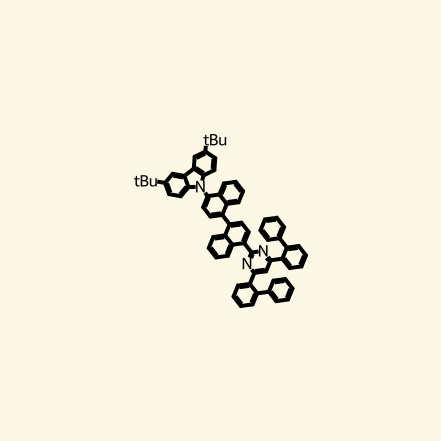 CC(C)(C)c1ccc2c(c1)c1cc(C(C)(C)C)ccc1n2-c1ccc(-c2ccc(-c3nc(-c4ccccc4-c4ccccc4)cc(-c4ccccc4-c4ccccc4)n3)c3ccccc23)c2ccccc12